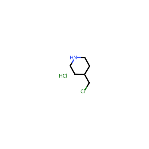 Cl.ClCC1CCNCC1